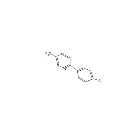 Nc1ncc(-c2ccc(Cl)cc2)nn1